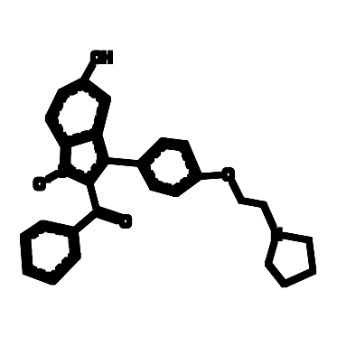 O=C(c1ccccc1)c1c(-c2ccc(OCCN3CCCC3)cc2)c2cc(O)ccc2[s+]1[O-]